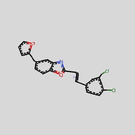 Clc1ccc(/C=C/c2nc3cc(-c4ccco4)ccc3o2)cc1Cl